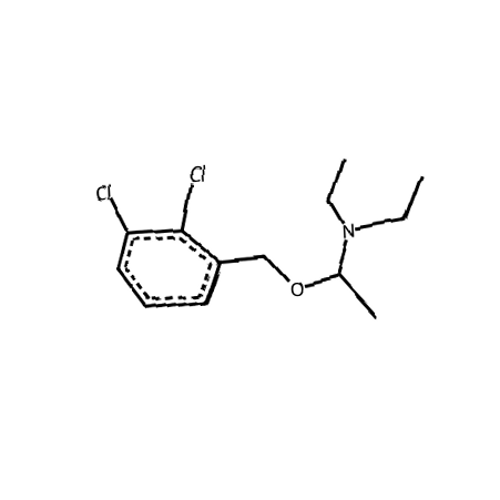 CCN(CC)C(C)OCc1cccc(Cl)c1Cl